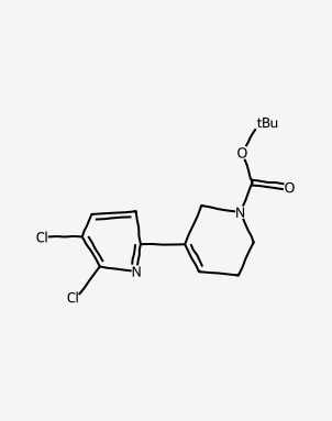 CC(C)(C)OC(=O)N1CCC=C(c2ccc(Cl)c(Cl)n2)C1